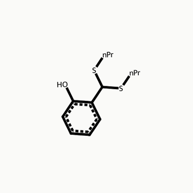 CCCSC(SCCC)c1ccccc1O